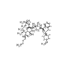 CCCCNC(=O)C(CC(O)C(CC(CNC(=O)c1ccccc1CCN1CCC(OC)CC1)C(C)C)NC(=O)OC(C)(C)C)C(C)C